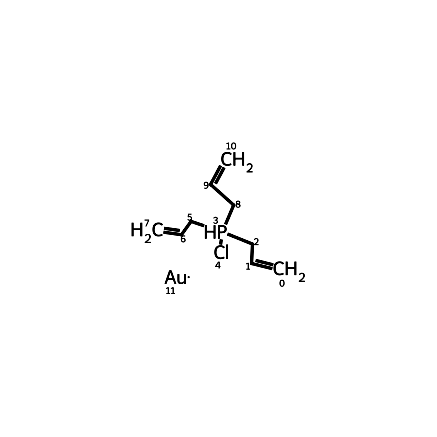 C=CC[PH](Cl)(CC=C)CC=C.[Au]